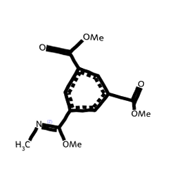 C/N=C(\OC)c1cc(C(=O)OC)cc(C(=O)OC)c1